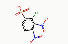 O=[N+]([O-])c1ccc(S(=O)(=O)O)c(Cl)c1[N+](=O)[O-]